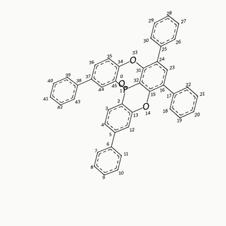 O=P12c3ccc(-c4ccccc4)cc3Oc3c(-c4ccccc4)cc(-c4ccccc4)c(c31)Oc1ccc(-c3ccccc3)cc12